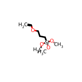 C=COCCC[Si](OC)(OC)OC